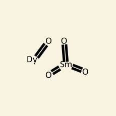 [O]=[Dy].[O]=[Sm](=[O])=[O]